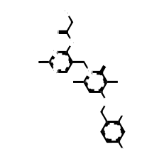 Cc1ncc(Cn2c(C)cc(OCc3ccc(F)cc3F)c(C)c2=O)c(NC(=O)CN)n1